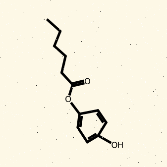 [CH2]CCCCC(=O)Oc1ccc(O)cc1